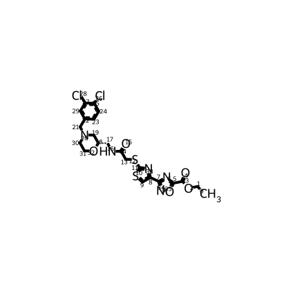 CCOC(=O)c1nc(-c2csc(SCC(=O)NC[C@H]3CN(Cc4ccc(Cl)c(Cl)c4)CCO3)n2)no1